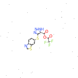 O=C(OC(=O)C(F)(F)F)c1[nH]nnc1Sc1ccc2ncsc2c1